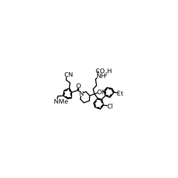 CCc1cccc(-c2c(Cl)cccc2C(O)(CCCNC(=O)O)C2CCCN(C(=O)c3ccc(CNC)cc3CCC#N)C2)c1